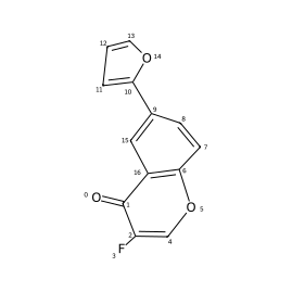 O=c1c(F)coc2ccc(-c3ccco3)cc12